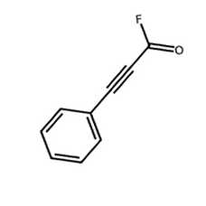 O=C(F)C#Cc1ccccc1